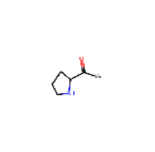 C[C](C)C(=O)C1CCCN1